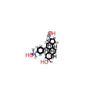 C[C@@]1(O)CC[C@H]2[C@@H](CC[C@@H]3[C@@H]2[C@@H](c2ccc([N+](C)(C)O)cc2)C[C@]2(C)C(=NO)CC[C@@H]32)C1